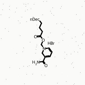 Br.CCCCCCCCCCCCCC(=O)OCN1C=CC=C(C(N)=O)C1